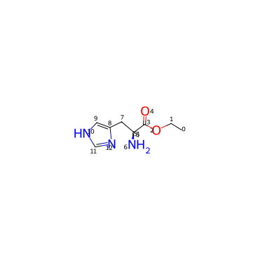 CCOC(=O)[C@@H](N)Cc1c[nH]cn1